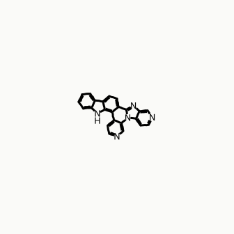 c1ccc2c(c1)[nH]c1c2ccc2c1c1ccncc1n1c3ccncc3nc21